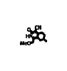 COCc1[nH]c(=O)c(C#N)c2c1CC(C)CC2